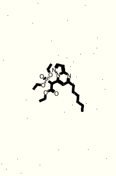 CCCCCCc1cc(C(C(=O)OCC)P(=O)(OCC)OCC)n2nccc2n1